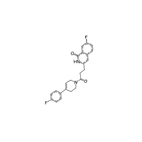 O=C(CCc1cc2ccc(F)cc2c(=O)[nH]1)N1CC=C(c2ccc(F)cc2)CC1